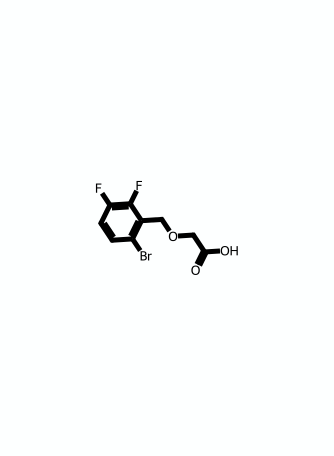 O=C(O)COCc1c(Br)ccc(F)c1F